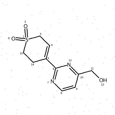 O=S1(=O)CC=C(c2nccc(CO)n2)CC1